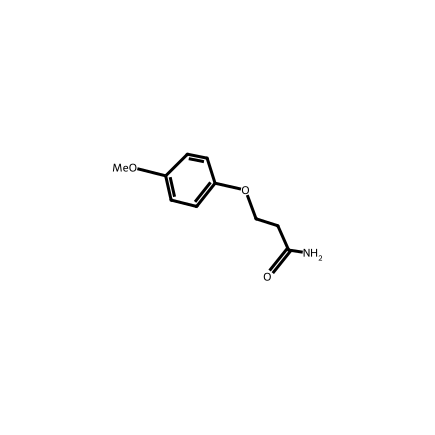 COc1ccc(OCCC(N)=O)cc1